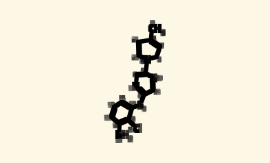 CC1=CCN(c2cnc(Sc3cccc(N)c3Cl)cn2)C=C1